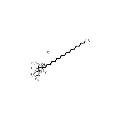 CCCCCCCCCCCCCCCCCCC(C)(C)C(C)(OC)[N+]([SiH3])(OC)OC.[Cl-]